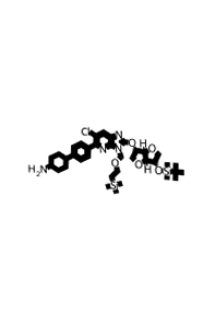 CC(C)(C)[Si](C)(C)O[C@@H]1CO[C@H]2[C@@H]1OC[C@H]2Oc1nc2cc(Cl)c(-c3ccc(C4CCC(N)CC4)cc3)nc2n1COCC[Si](C)(C)C